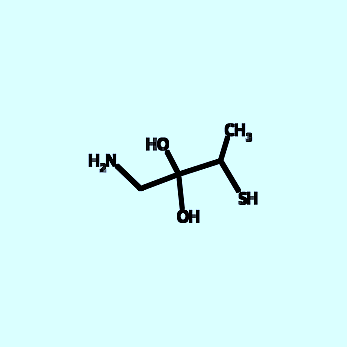 CC(S)C(O)(O)CN